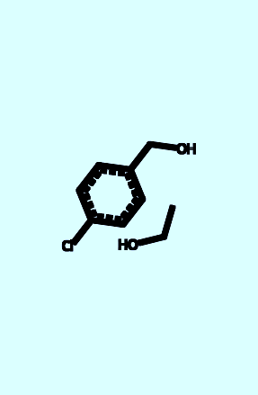 CCO.OCc1ccc(Cl)cc1